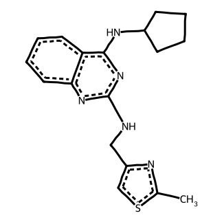 Cc1nc(CNc2nc(NC3CCCC3)c3ccccc3n2)cs1